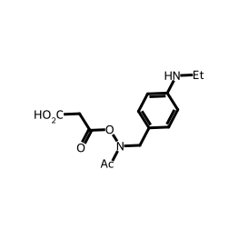 CCNc1ccc(CN(OC(=O)CC(=O)O)C(C)=O)cc1